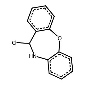 ClC1Nc2ccccc2Oc2ccccc21